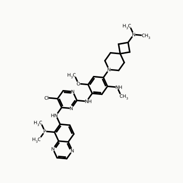 CNc1cc(Nc2ncc(Cl)c(Nc3ccc4nccnc4c3P(C)C)n2)c(OC)cc1N1CCC2(CC1)CC(N(C)C)C2